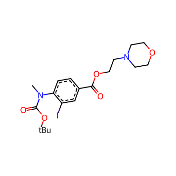 CN(C(=O)OC(C)(C)C)c1ccc(C(=O)OCCN2CCOCC2)cc1I